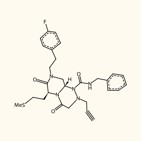 C#CCN1CC(=O)N2[C@@H](CCSC)C(=O)N(CCc3ccc(F)cc3)C[C@@H]2N1C(=O)NCc1ccccc1